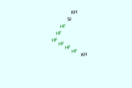 F.F.F.F.F.F.[KH].[KH].[Si]